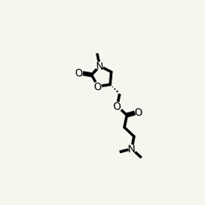 CN(C)CCC(=O)OC[C@H]1CN(C)C(=O)O1